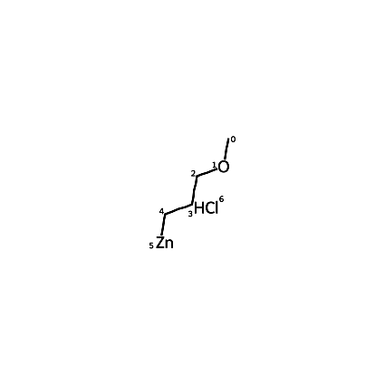 COCC[CH2][Zn].Cl